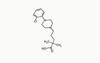 CC(C)(CCCN1CCN(c2ccccc2Cl)CC1)C(=O)O